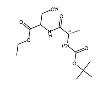 CCOC(=O)C(CO)NC(=O)[C@H](C)NC(=O)OC(C)(C)C